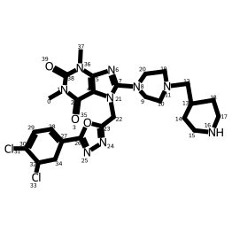 Cn1c(=O)c2c(nc(N3CCN(CC4CCNCC4)CC3)n2Cc2nnc(C3=CC=C(Cl)C(Cl)C3)o2)n(C)c1=O